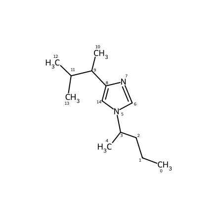 CCCC(C)n1cnc(C(C)C(C)C)c1